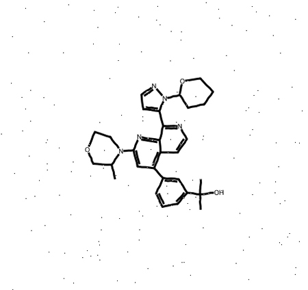 CC1COCCN1c1cc(-c2cccc(C(C)(C)O)c2)c2ccnc(-c3ccnn3C3CCCCO3)c2n1